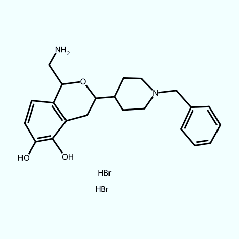 Br.Br.NCC1OC(C2CCN(Cc3ccccc3)CC2)Cc2c1ccc(O)c2O